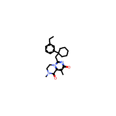 CCc1cccc(C2(Cc3nc(=O)c(C)c4n3CCN(C)C4=O)CCCCC2)c1